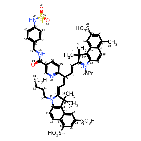 CCC[N+]1=C(/C=C/C(=C/C=C2/N(CCCS(=O)(=O)O)c3ccc4c(S(=O)(=O)O)cc(S(=O)(=O)O)cc4c3C2(C)C)c2ccc(C(=O)NCc3ccc(N[SH](=O)=O)cc3)cn2)C(C)(C)c2c1ccc1c(C)cc(S(=O)(=O)O)cc21